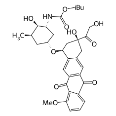 CCC(C)OC(=O)N[C@@H]1C[C@H](O[C@H]2C[C@](O)(C(=O)CO)Cc3cc4c(cc32)C(=O)c2c(OC)cccc2C4=O)C[C@@H](C)[C@H]1O